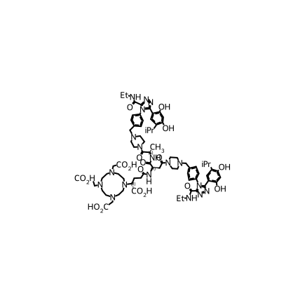 CCNC(=O)c1nnc(-c2cc(C(C)C)c(O)cc2O)n1-c1ccc(CN2CCN(C(=O)C[C@@H](NC(=O)CC[C@H](C(=O)O)N3CCN(CC(=O)O)CCN(CC(=O)O)CCN(CC(=O)O)CC3)C(=O)N[C@@H](C)C(=O)N3CCN(Cc4ccc(-n5c(C(=O)NCC)nnc5-c5cc(C(C)C)c(O)cc5O)cc4)CC3)CC2)cc1